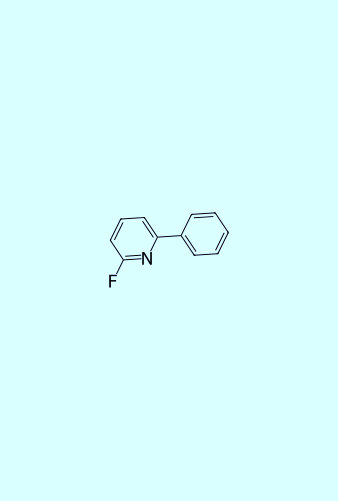 Fc1cccc(-c2ccccc2)n1